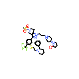 CS(=O)(=O)N1CCc2c(c(-c3ccc(C(F)(F)F)c(SCCN4CCCCC4c4ccccc4)c3)nn2CCCN2CCC(N3CCCC3=O)CC2)C1